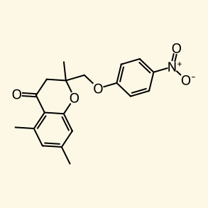 Cc1cc(C)c2c(c1)OC(C)(COc1ccc([N+](=O)[O-])cc1)CC2=O